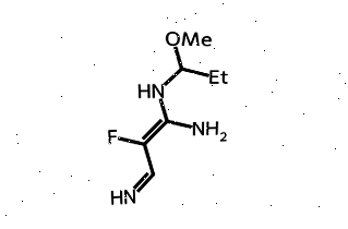 CCC(N/C(N)=C(\F)C=N)OC